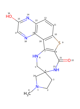 CN1CCC2(CNc3c(sc4ccc5nc(O)cnc5c34)C(=O)N2)C1